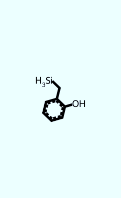 Oc1ccccc1C[SiH3]